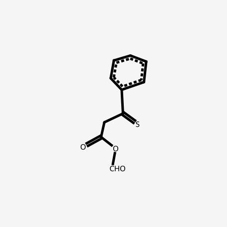 O=COC(=O)CC(=S)c1ccccc1